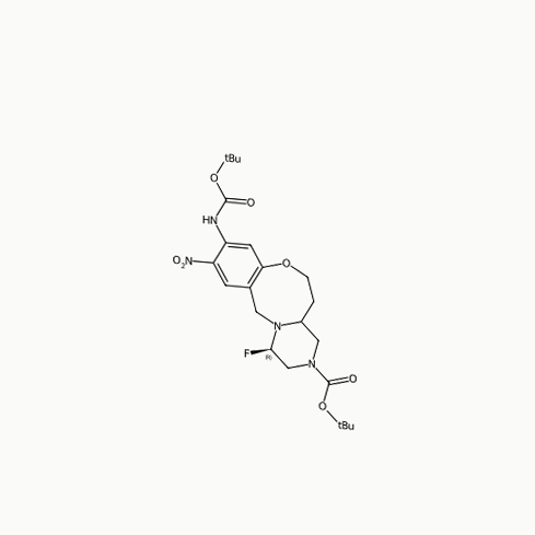 CC(C)(C)OC(=O)Nc1cc2c(cc1[N+](=O)[O-])CN1C(CCO2)CN(C(=O)OC(C)(C)C)C[C@H]1F